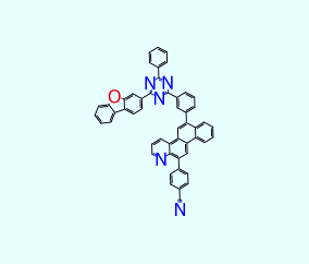 N#Cc1ccc(-c2cc3c4ccccc4c(-c4cccc(-c5nc(-c6ccccc6)nc(-c6ccc7c(c6)oc6ccccc67)n5)c4)cc3c3cccnc23)cc1